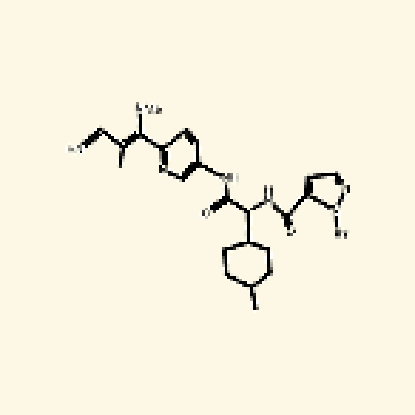 CN/C(=C(/C)C=N)c1ccc(NC(=O)[C@@H](NC(=O)c2ccnn2C(C)C)C2CCC(C)CC2)cn1